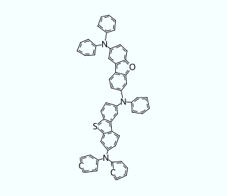 c1ccc(N(c2ccccc2)c2ccc3c(c2)sc2ccc(N(c4ccccc4)c4ccc5c(c4)oc4ccc(N(c6ccccc6)c6ccccc6)cc45)cc23)cc1